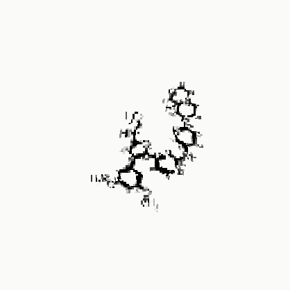 CCNc1nc(-c2cc(OC)cc(OC)c2)c(-c2ccnc(Nc3ccc(N4CCN5CCOC[C@H]5C4)nc3)n2)o1